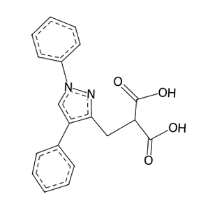 O=C(O)C(Cc1nn(-c2ccccc2)cc1-c1ccccc1)C(=O)O